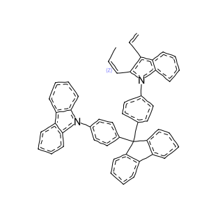 C=Cc1c(/C=C\C)n(-c2ccc(C3(c4ccc(-n5c6ccccc6c6ccccc65)cc4)c4ccccc4-c4ccccc43)cc2)c2ccccc12